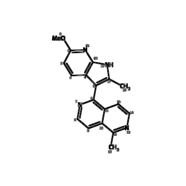 COc1ccc2c(-c3nccc4c(C)nccc34)c(C)[nH]c2n1